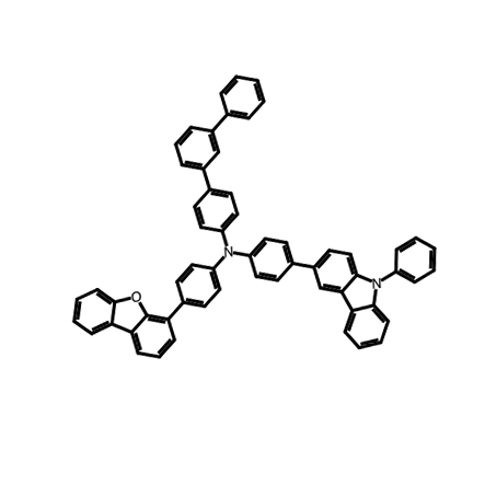 c1ccc(-c2cccc(-c3ccc(N(c4ccc(-c5ccc6c(c5)c5ccccc5n6-c5ccccc5)cc4)c4ccc(-c5cccc6c5oc5ccccc56)cc4)cc3)c2)cc1